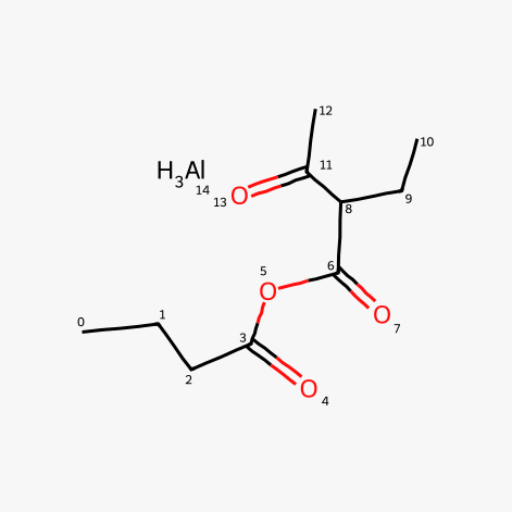 CCCC(=O)OC(=O)C(CC)C(C)=O.[AlH3]